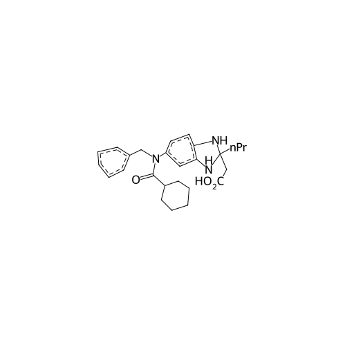 CCCC1(CC(=O)O)Nc2ccc(N(Cc3ccccc3)C(=O)C3CCCCC3)cc2N1